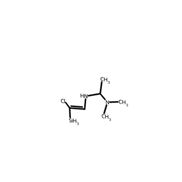 CC(NC=C([SiH3])Cl)N(C)C